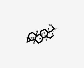 C[C@@H](O)[C@H]1CC[C@H]2[C@@H]3CC[C@@H]4C5C[C@@]5(O)CC[C@@H]4[C@H]3CC[C@]12C